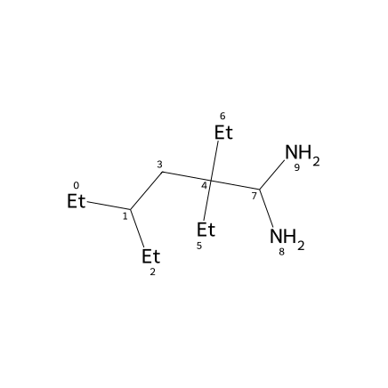 CCC(CC)CC(CC)(CC)C(N)N